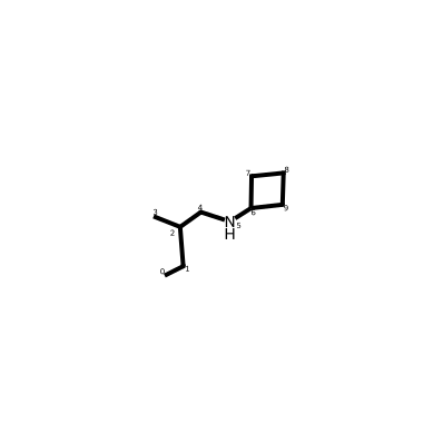 CCC(C)CNC1CCC1